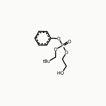 CC(C)(C)COP(=O)(OCCO)Oc1ccccc1